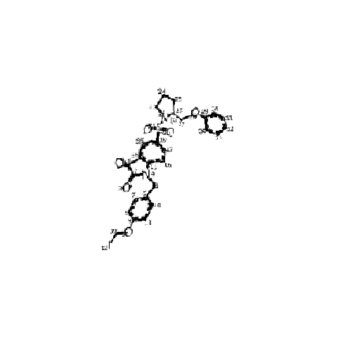 O=C1C(=O)N(Cc2ccc(OCI)cc2)c2ccc(S(=O)(=O)N3CCC[C@H]3COc3ccccc3)cc21